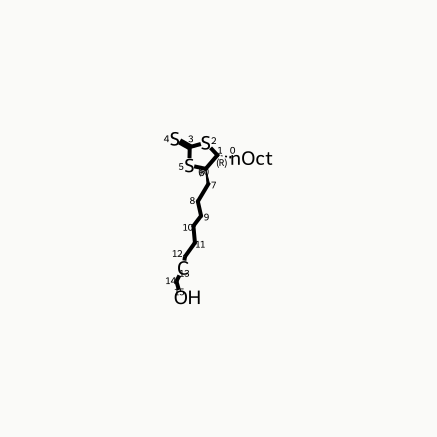 CCCCCCCC[C@H]1SC(=S)S[C@@H]1CCCCCCCCO